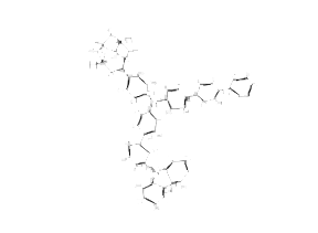 c1ccc(-c2ccc(-c3ccc(N(c4ccc(-c5cccc(-n6c7ccccc7c7ccccc76)c5)cc4)c4ccc(C56C[C@@H]7CC8C[C@@H](C5)[C@@]8(C7)C6)cc4)cc3)cc2)cc1